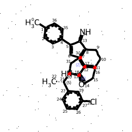 Cc1ccc(C2=CC3=C(CCC=C3/C3=C\CC/C(C(=O)N[C@@H](C)c4cccc(Cl)c4)=C/CC3)C2=N)cc1